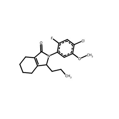 CCCC1C2=C(CCCC2)C(=O)N1c1cc(OC)c(Cl)cc1F